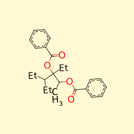 CCC(CC)C(CC)(OC(=O)c1ccccc1)C(C)OC(=O)c1ccccc1